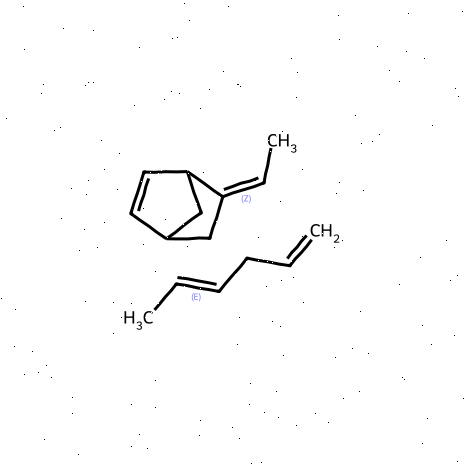 C/C=C1/CC2C=CC1C2.C=CC/C=C/C